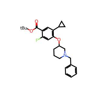 CC(C)(C)OC(=O)c1cc(C2CC2)c(OC2CCCN(Cc3ccccc3)C2)cc1F